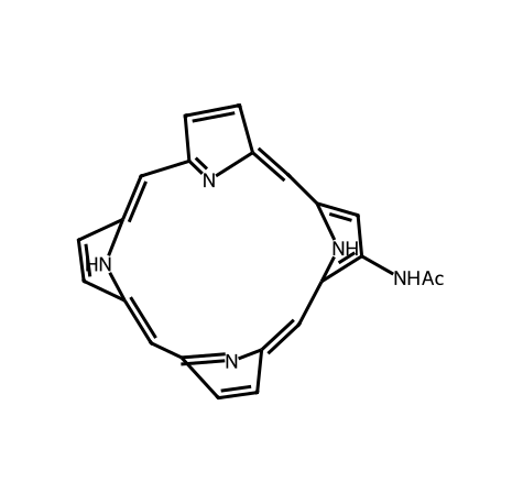 CC(=O)Nc1cc2cc3nc(cc4ccc(cc5nc(cc1[nH]2)C=C5)[nH]4)C=C3